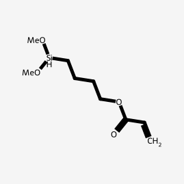 C=CC(=O)OCCCC[SiH](OC)OC